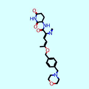 C=N/C(=C\C=C(/C)OCc1ccc(CN2CCOCC2)cc1)C(=O)NC1CCC(=O)NC1=O